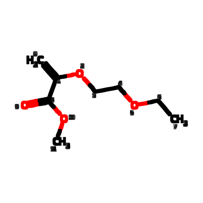 C=C(OCCOCC)C(=O)OC